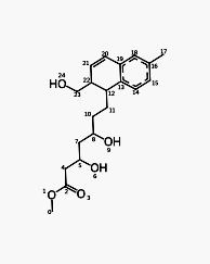 COC(=O)CC(O)CC(O)CCC1c2ccc(C)cc2C=CC1CO